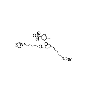 CCCCCCCCCCCCCCC[C@@H]1CO[C@@H](COCCCCCC[n+]2ccsc2)C1.Cc1ccc(S(=O)(=O)[O-])cc1